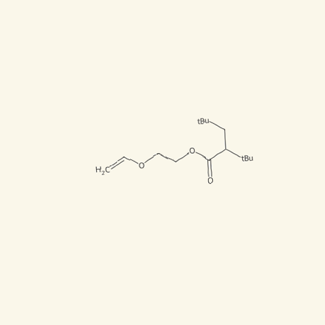 C=COCCOC(=O)C(CC(C)(C)C)C(C)(C)C